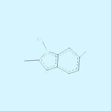 CCn1c(I)cc2ccc(F)cc21